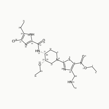 CCOC(=O)c1sc(N2CC[C@@H](NC(=O)c3nc(Cl)c(CC)[nH]3)[C@@H](OCC)C2)nc1CNC